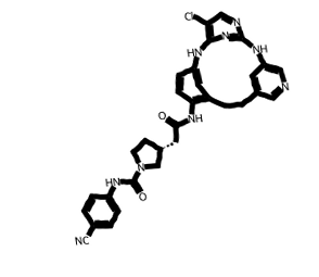 N#Cc1ccc(NC(=O)N2CC[C@H](CC(=O)Nc3ccc4cc3CCc3cncc(c3)Nc3ncc(Cl)c(n3)N4)C2)cc1